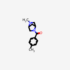 Cc1ccc(C(=O)N2CC3CC2CN3C)cc1